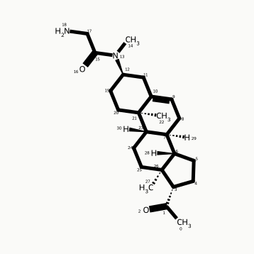 CC(=O)[C@H]1CC[C@H]2[C@@H]3CC=C4C[C@H](N(C)C(=O)CN)CC[C@]4(C)[C@H]3CC[C@]12C